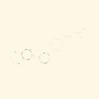 CC1(C)CCC(C)(C)c2cc(-c3cccc(N4CCC(NCC[C@H](O)CO)CC4)n3)ccc21